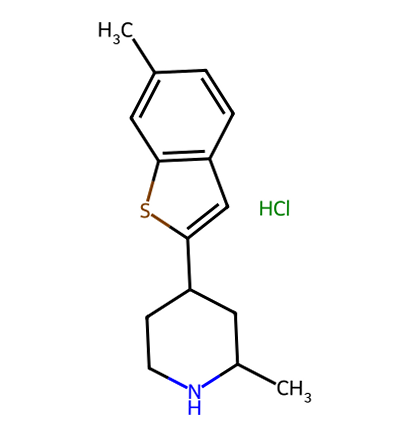 Cc1ccc2cc(C3CCNC(C)C3)sc2c1.Cl